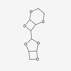 C1COC2C(O1)OC2C1OC2COC2O1